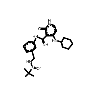 CC(C)(C)[S+]([O-])NCc1cccc(NC(=N)c2c(NC3CCCCC3)cc[nH]c2=O)c1